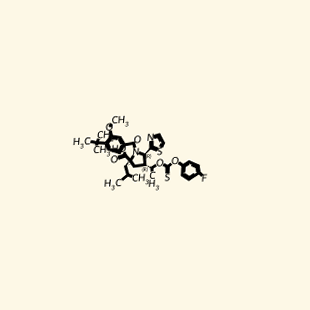 COc1cc(C(=O)N2[C@@H](c3nccs3)[C@H](C(C)OC(=S)Oc3ccc(F)cc3)C[C@@]2(CC(C)C)C(=O)O)ccc1C(C)(C)C